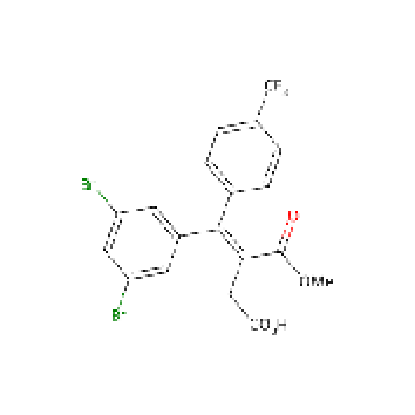 COC(=O)/C(CC(=O)O)=C(\c1ccc(C(F)(F)F)cc1)c1cc(Br)cc(Br)c1